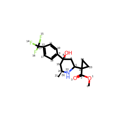 COC(=O)C1(C2CC(O)(c3ccc(C(F)(F)F)cc3)C[C@H](C)N2)CC1